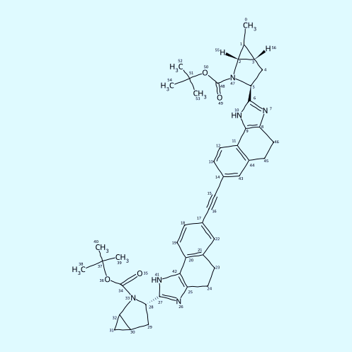 CC1[C@@H]2[C@H]1C[C@@H](c1nc3c([nH]1)-c1ccc(C#Cc4ccc5c(c4)CCc4nc([C@@H]6CC7CC7N6C(=O)OC(C)(C)C)[nH]c4-5)cc1CC3)N2C(=O)OC(C)(C)C